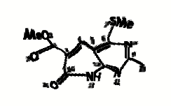 COC(=O)c1cc2c(SC)nc(C)nc2[nH]c1=O